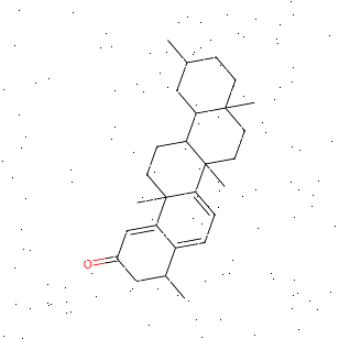 CC1CCC2(C)CCC3(C)C4=CC=C5C(=CC(=O)CC5C)C4(C)CCC3C2C1